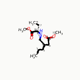 CCCC(CN[C@@H](CC)C(=O)OC)CC(=O)OC